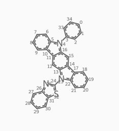 c1ccc(-n2c3ccccc3c3cc4c(cc32)c2ccccc2n4-c2nc3ccccc3s2)cc1